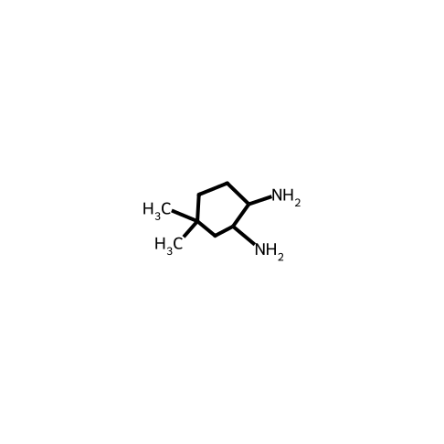 CC1(C)CCC(N)C(N)C1